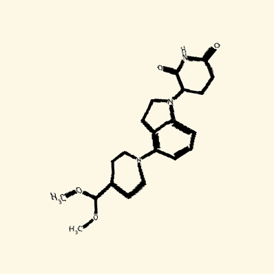 COC(OC)C1CCN(c2cccc3c2CCN3C2CCC(=O)NC2=O)CC1